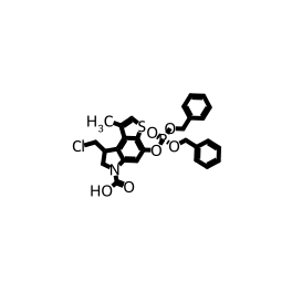 Cc1csc2c(OP(=O)(OCc3ccccc3)OCc3ccccc3)cc3c(c12)C(CCl)CN3C(=O)O